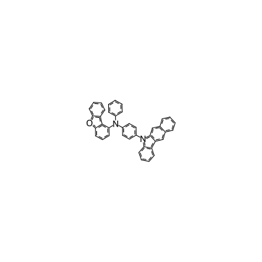 c1ccc(N(c2ccc(-n3c4ccccc4c4cc5ccccc5cc43)cc2)c2cccc3oc4ccccc4c23)cc1